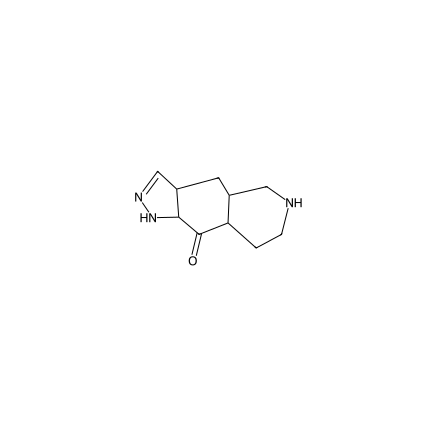 O=C1C2CCNCC2CC2C=NNC12